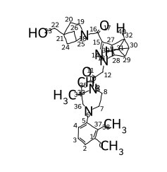 Cc1cccc(N2CCN(C(=O)Cn3nc(C(=O)N4CCC5(CO)CC4C5)c4c3C3C5[C@H]3[C@H]45)C(C)(C)C2)c1C